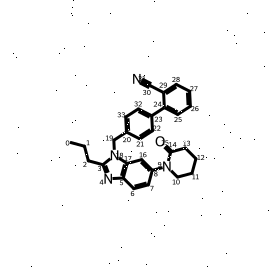 CCCc1nc2ccc(N3CCCCC3=O)cc2n1Cc1ccc(-c2ccccc2C#N)cc1